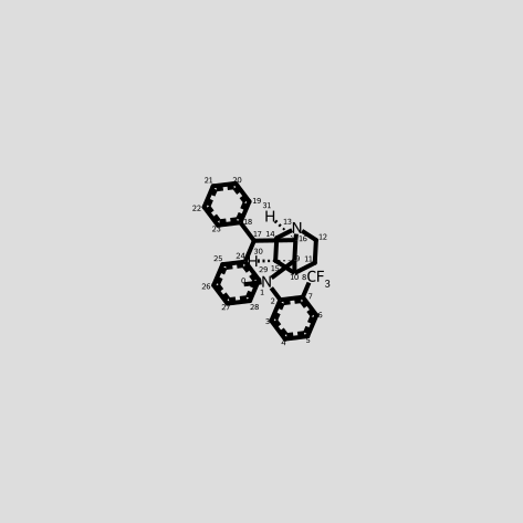 CN(c1ccccc1C(F)(F)F)[C@@H]1C2CCN(CC2)[C@@H]1C(c1ccccc1)c1ccccc1